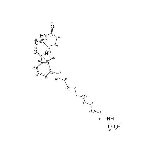 O=C(O)NCCOCCOCCCCCCc1cccc2c1CN(C1CCC(=O)NC1=O)C2=O